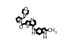 Cc1cc2cc(Nc3ccnc4cc(C(=O)N5CCC[C@H]5CN5CCOCC5)sc34)ccc2[nH]1